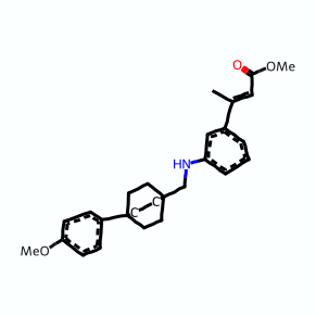 COC(=O)/C=C(\C)c1cccc(NCC23CCC(c4ccc(OC)cc4)(CC2)CC3)c1